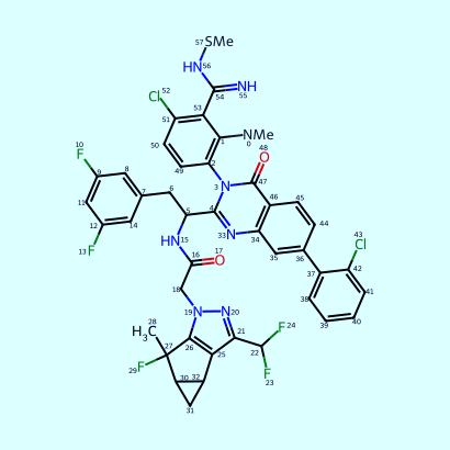 CNc1c(-n2c(C(Cc3cc(F)cc(F)c3)NC(=O)Cn3nc(C(F)F)c4c3C(C)(F)C3CC43)nc3cc(-c4ccccc4Cl)ccc3c2=O)ccc(Cl)c1C(=N)NSC